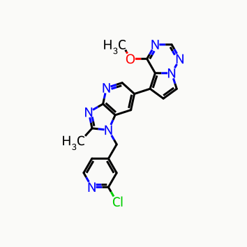 COc1ncnn2ccc(-c3cnc4nc(C)n(Cc5ccnc(Cl)c5)c4c3)c12